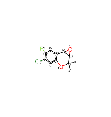 CC1(C)Oc2cc(Cl)c(F)cc2C2OC21